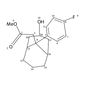 COC(=O)CC1(c2ccc(F)cc2)C2CCCC1CC(O)C2